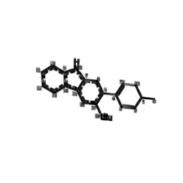 CC1C=CC(c2cc3[nH]c4ccccc4c3cc2C(C)(C)C)=CC1